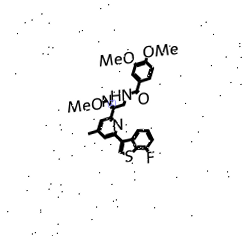 CO/N=C(/CNC(=O)c1ccc(OC)c(OC)c1)c1cc(C)cc(-c2csc3c(F)cccc23)n1